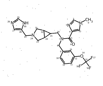 Cn1cnc(C(=O)N(Cc2cccc(OC(F)(F)F)c2)CC2C3CN(Cc4cnc[nH]4)CC32)c1